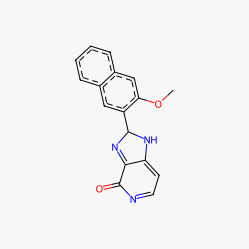 COc1cc2ccccc2cc1C1N=C2C(=O)N=CC=C2N1